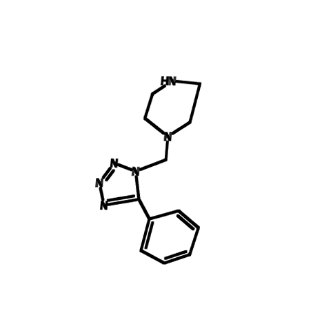 c1ccc(-c2nnnn2CN2CCNCC2)cc1